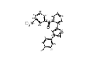 Cc1ccc(-n2cc(-c3ccccc3C(=O)c3cccc([N+](=O)[O-])c3)nn2)cc1